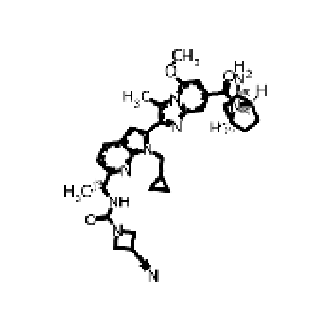 COc1cc(C(=O)N2[C@H]3CC[C@@H]2[C@H](N)C3)cc2nc(-c3cc4ccc([C@@H](C)NC(=O)N5CC(C#N)C5)nc4n3CC3CC3)c(C)n12